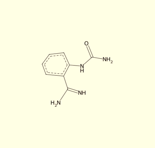 N=C(N)c1ccccc1NC(N)=O